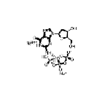 Nc1nc2c(ncn2[C@H]2C[C@H](O)[C@@H](CO)O2)c(=O)[nH]1.O=P([O-])([O-])OP(=O)([O-])OP(=O)(O)O.[Na+].[Na+].[Na+]